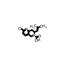 CC(C)=CC1Cc2nc(Cl)ccc2CN1C(=O)O